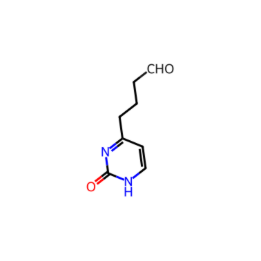 O=CCCCc1cc[nH]c(=O)n1